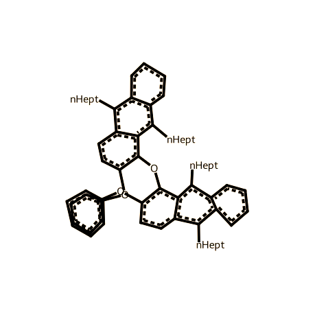 CCCCCCCc1c2ccccc2c(CCCCCCC)c2c(Oc3c(Oc4ccccc4)ccc4c(CCCCCCC)c5ccccc5c(CCCCCCC)c34)c(Oc3ccccc3)ccc12